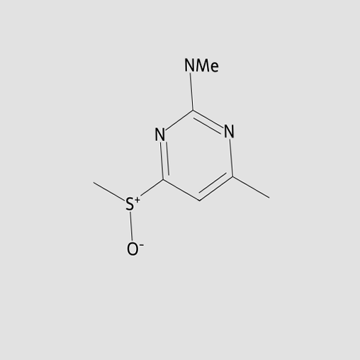 CNc1nc(C)cc([S+](C)[O-])n1